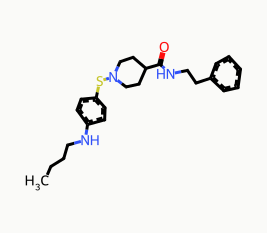 CCCCNc1ccc(SN2CCC(C(=O)NCCc3ccccc3)CC2)cc1